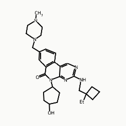 CCC1(CNc2ncc3c4ccc(CN5CCN(C)CC5)cc4c(=O)n(C4CCC(O)CC4)c3n2)CCC1